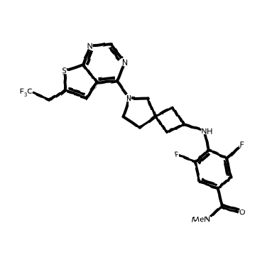 CNC(=O)c1cc(F)c(NC2CC3(CCN(c4ncnc5sc(CC(F)(F)F)cc45)C3)C2)c(F)c1